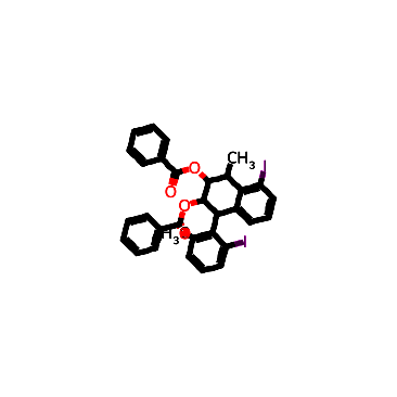 Cc1cccc(I)c1C1c2cccc(I)c2C(C)C(OC(=O)c2ccccc2)C1OC(=O)c1ccccc1